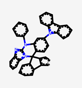 c1ccc(N2c3cc(-n4c5ccccc5c5ccccc54)ccc3C3(c4ccccc4-c4ccccc43)n3c2nc2ccccc23)cc1